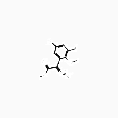 COC(=O)C(=[N+]=[N-])c1cc(Br)cc(I)c1OC